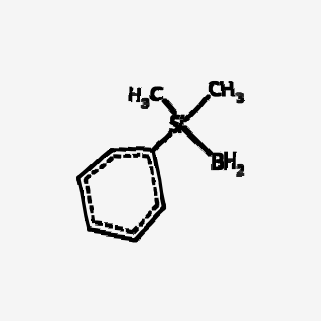 B[Si](C)(C)c1ccccc1